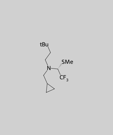 CS[C@@H](N(CCC(C)(C)C)CC1CC1)C(F)(F)F